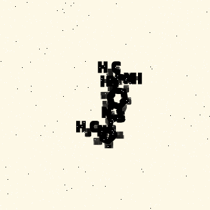 CC(=N)Nc1ccc2sc(-c3cccn3C)nc2c1